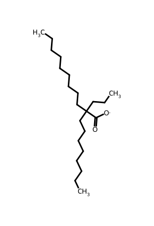 CCCCCCCCCC(CCC)(CCCCCCCC)C([O])=O